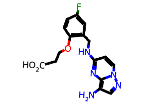 Nc1cnn2ccc(NCc3cc(F)ccc3OCCC(=O)O)nc12